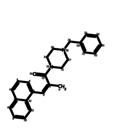 CC(=Cc1cccc2ccccc12)C(=O)N1CCN(Cc2ccccc2)CC1